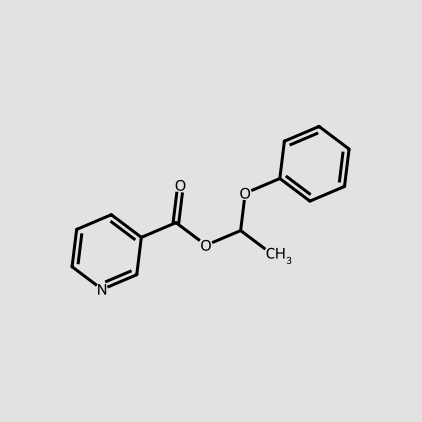 CC(OC(=O)c1cccnc1)Oc1ccccc1